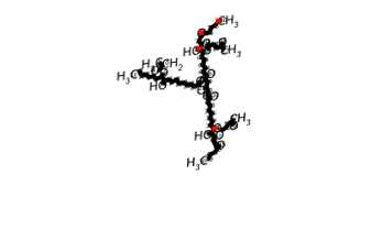 C=C(C)C(=O)OC(CCCCCCC)C(O)CCCCCCCCC(=O)OC(COC(=O)CCCCCCCCC(O)C(CC1OC1CCCC)OC(=O)CCC(C)=O)COC(=O)CCCCCCC(O)C(CC1OC1CCCCC)OC(=O)CCC(C)=O